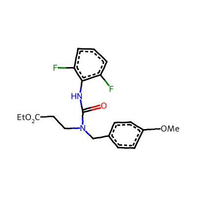 CCOC(=O)CCN(Cc1ccc(OC)cc1)C(=O)Nc1c(F)cccc1F